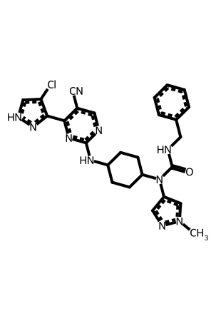 Cn1cc(N(C(=O)NCc2ccccc2)C2CCC(Nc3ncc(C#N)c(-c4n[nH]cc4Cl)n3)CC2)cn1